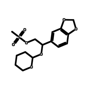 CS(=O)(=O)OCC(OC1CCCCO1)c1ccc2c(c1)OCO2